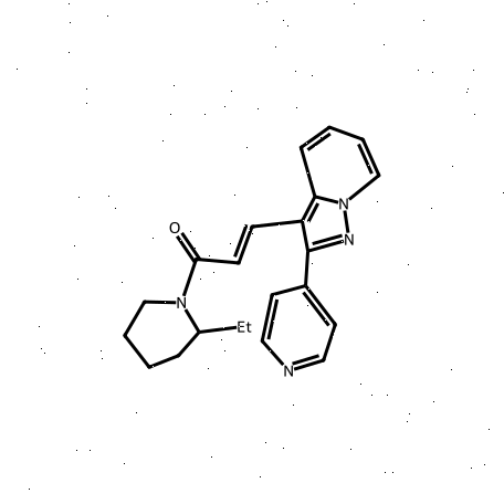 CCC1CCCCN1C(=O)C=Cc1c(-c2ccncc2)nn2ccccc12